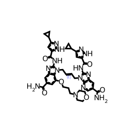 NC(=O)c1cnc2c(c1)nc(NC(=O)c1cc(C3CC3)n[nH]1)n2C/C=C/Cn1c(NC(=O)c2cc(C3CC3)n[nH]2)nc2cc(C(N)=O)cc(OCCCN3CCOCC3)c21